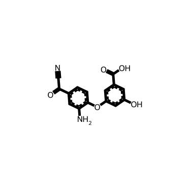 N#CC(=O)c1ccc(Oc2cc(O)cc(C(=O)O)c2)c(N)c1